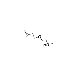 CNCCOCCSC